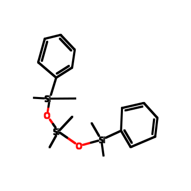 C[Si](C)(O[Si](C)(C)c1ccccc1)O[Si](C)(C)c1ccccc1